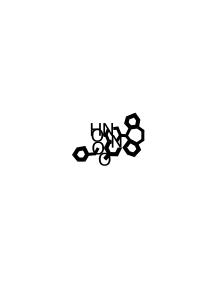 O=C1NCC(C2c3ccccc3CCc3ccccc32)n2ccc(=O)c(OCc3ccccc3)c21